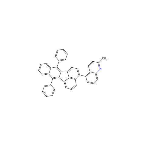 Cc1ccc2c(-c3ccc4c5c(cccc35)-c3c-4c(-c4ccccc4)c4ccccc4c3-c3ccccc3)cccc2n1